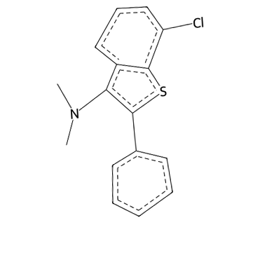 CN(C)c1c(-c2ccccc2)sc2c(Cl)cccc12